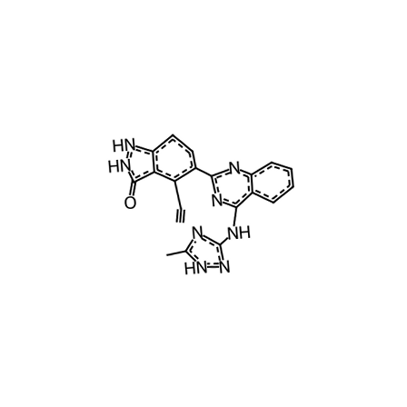 C#Cc1c(-c2nc(Nc3n[nH]c(C)n3)c3ccccc3n2)ccc2[nH][nH]c(=O)c12